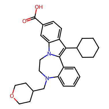 O=C(O)c1ccc2c(C3CCCCC3)c3n(c2c1)CCN(CC1CCOCC1)c1ccccc1-3